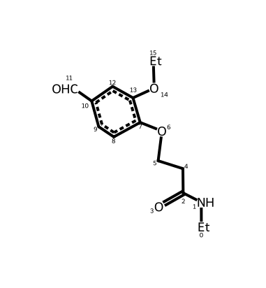 CCNC(=O)CCOc1ccc(C=O)cc1OCC